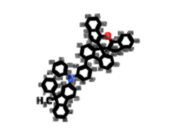 CC1(c2ccccc2)c2ccccc2-c2ccc(N(c3ccccc3)c3cccc(-c4cccc5c4-c4ccccc4C54c5ccc6ccccc6c5Oc5c4ccc4ccccc54)c3)cc21